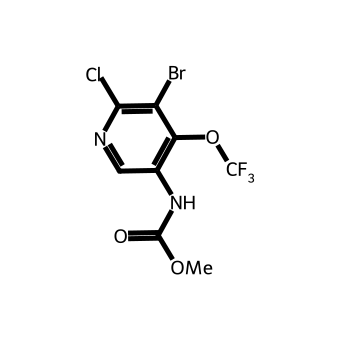 COC(=O)Nc1cnc(Cl)c(Br)c1OC(F)(F)F